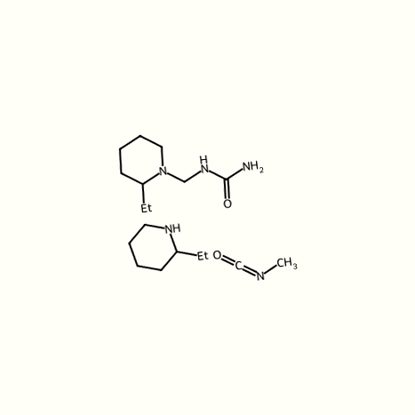 CCC1CCCCN1.CCC1CCCCN1CNC(N)=O.CN=C=O